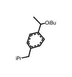 CC(C)COC(C)c1ccc(CC(C)C)cc1